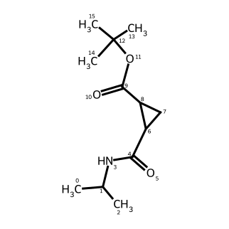 CC(C)NC(=O)C1CC1C(=O)OC(C)(C)C